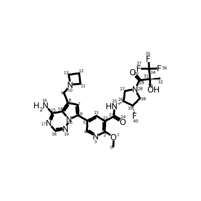 COc1ncc(-c2cc(CN3CCC3)c3c(N)ncnn23)cc1C(=O)N[C@@H]1CN(C(=O)[C@@](C)(O)C(F)(F)F)C[C@@H]1F